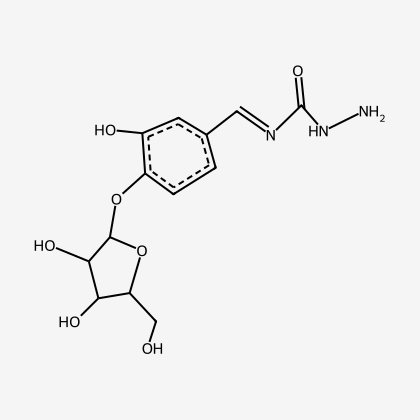 NNC(=O)/N=C/c1ccc(OC2OC(CO)C(O)C2O)c(O)c1